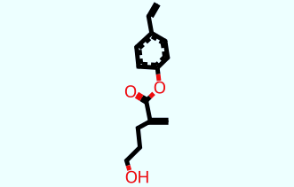 C=Cc1ccc(OC(=O)C(=C)CCCO)cc1